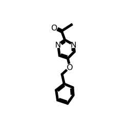 CC(=O)c1ncc(OCc2ccccc2)cn1